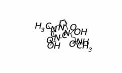 CCN1CCN(CC(=O)O)CCN(C(CCC(=O)NC)C(=O)O)Cc2cccc(n2)C1